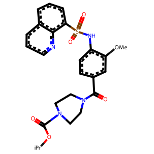 COc1cc(C(=O)N2CCN(C(=O)OC(C)C)CC2)ccc1NS(=O)(=O)c1cccc2cccnc12